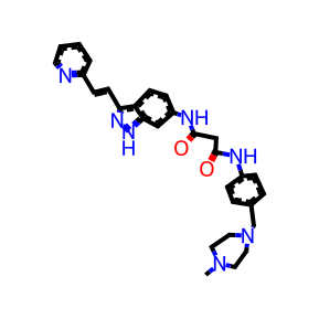 CN1CCN(Cc2ccc(NC(=O)CC(=O)Nc3ccc4c(C=Cc5ccccn5)n[nH]c4c3)cc2)CC1